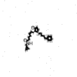 O=C(CCC/C=C\C[C@H]1C(=O)C=C[C@@H]1/C=C/CCCc1ccccc1)NCC1CC1